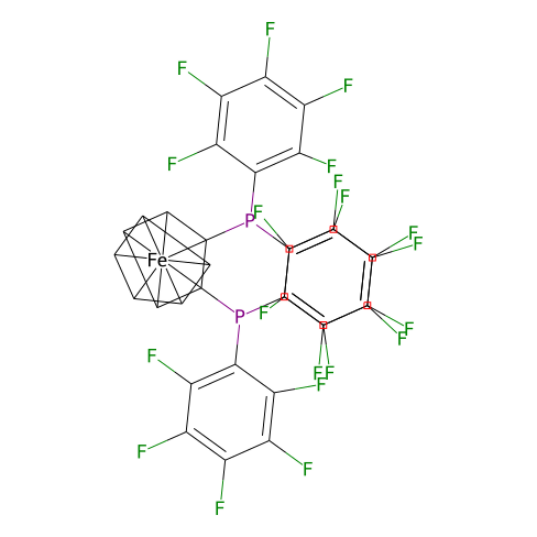 Fc1c(F)c(F)c(P(c2c(F)c(F)c(F)c(F)c2F)[C]23[CH]4[CH]5[CH]6[C]2(P(c2c(F)c(F)c(F)c(F)c2F)c2c(F)c(F)c(F)c(F)c2F)[Fe]54632789[CH]3[CH]2[CH]7[CH]8[CH]39)c(F)c1F